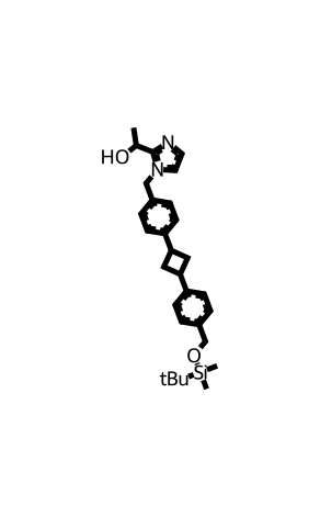 CC(O)c1nccn1Cc1ccc(C2CC(c3ccc(CO[Si](C)(C)C(C)(C)C)cc3)C2)cc1